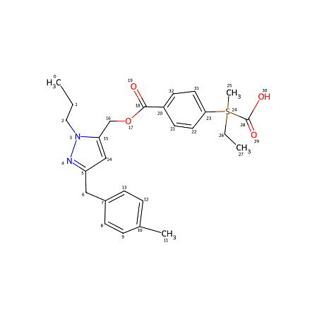 CCCn1nc(Cc2ccc(C)cc2)cc1COC(=O)c1ccc(S(C)(CC)C(=O)O)cc1